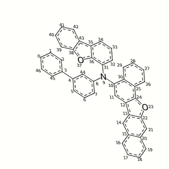 c1ccc(-c2cccc(N(c3cc4c5cc6ccccc6cc5oc4c4ccccc34)c3cccc4c3oc3ccccc34)c2)cc1